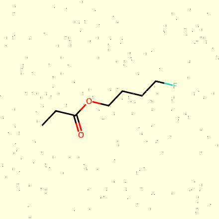 CCC(=O)OCCCCF